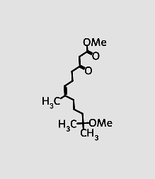 COC(=O)CC(=O)CCC=C(C)CCCC(C)(C)OC